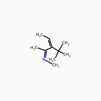 C/C=C(\C(C)=N/C)C(C)(C)C